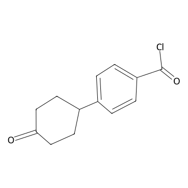 O=C1CCC(c2ccc(C(=O)Cl)cc2)CC1